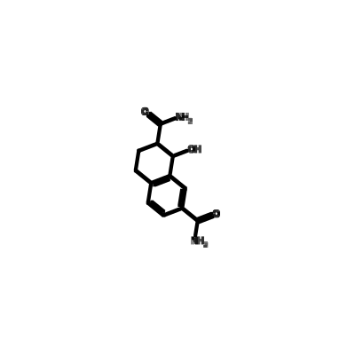 NC(=O)c1ccc2c(c1)C(O)C(C(N)=O)CC2